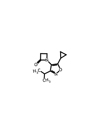 CC(C)c1noc(C2CC2)c1N1CCC1=O